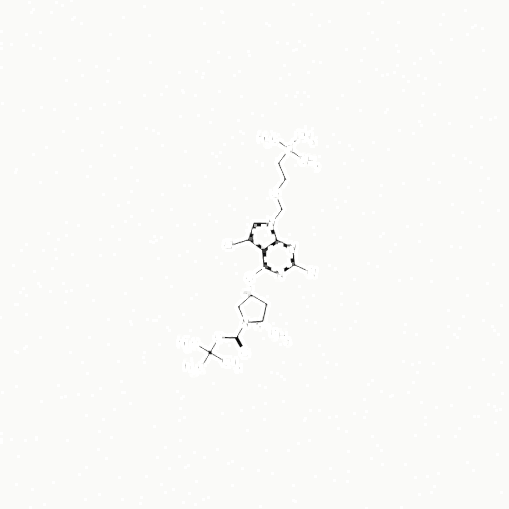 C[C@H]1C[C@@H](Oc2nc(Cl)nc3c2c(Cl)cn3COCC[Si](C)(C)C)CN1C(=O)OC(C)(C)C